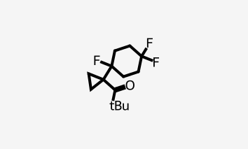 CC(C)(C)C(=O)C1(C2(F)CCC(F)(F)CC2)CC1